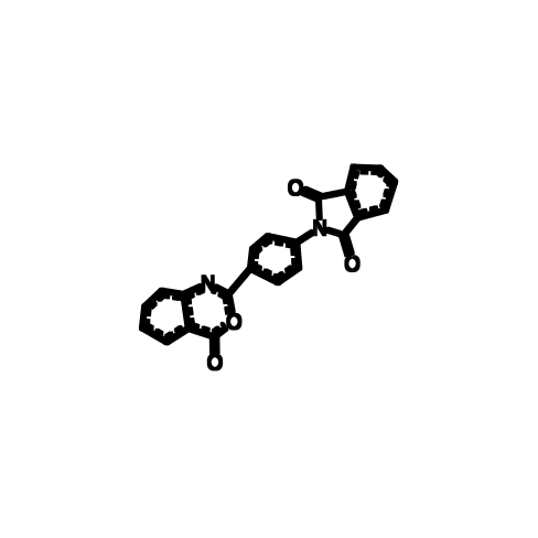 O=C1c2ccccc2C(=O)N1c1ccc(-c2nc3ccccc3c(=O)o2)cc1